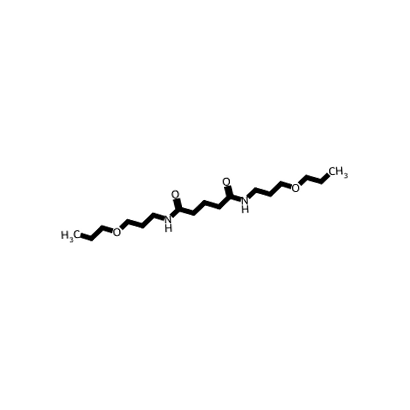 CCCOCCCNC(=O)CCCC(=O)NCCCOCCC